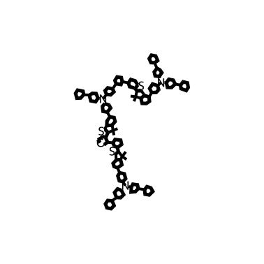 CC1(C)c2cccc(-c3ccc(N(c4ccc(-c5ccccc5)cc4)c4ccc(-c5ccccc5)cc4)cc3)c2-c2sc3ccc(-c4cccc(-c5ccc(N(c6ccc(-c7ccccc7)cc6)c6ccc(-c7ccc8c(c7)-c7sc9cccc(-c%10cccc%11c%12c(sc%10%11)-c%10ccc(-c%11ccc(N(c%13ccc(-c%14ccccc%14)cc%13)c%13ccc(-c%14ccccc%14)cc%13)cc%11)cc%10C%12(C)C)c9c7C8(C)C)cc6)cc5)c4)cc3c21